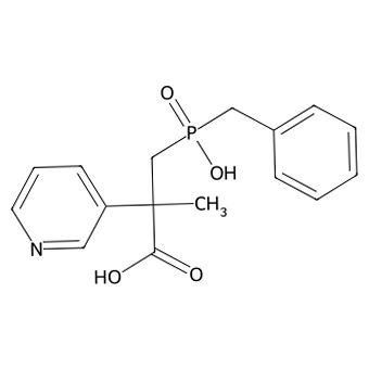 CC(CP(=O)(O)Cc1ccccc1)(C(=O)O)c1cccnc1